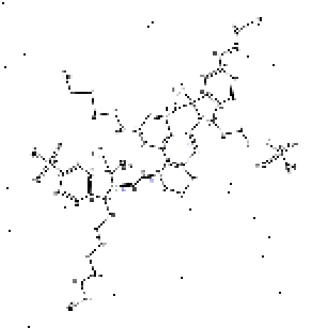 CC1(C)C(/C=C/C2=C(c3cccc(OCCCCO)c3)C(=C/C=C3/N(CCCCSOOO)c4ccc(S(=O)(=O)O)cc4C3(C)C)/CCC2)=[N+](CCCCS(=O)(=O)O)c2ccc(SOOO)cc21